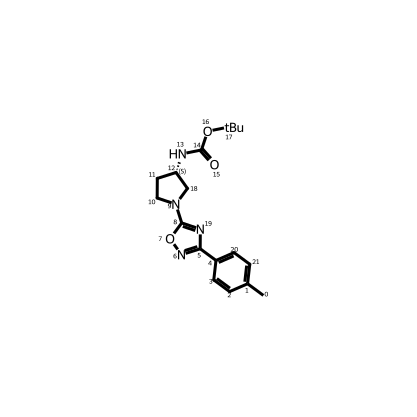 Cc1ccc(-c2noc(N3CC[C@H](NC(=O)OC(C)(C)C)C3)n2)cc1